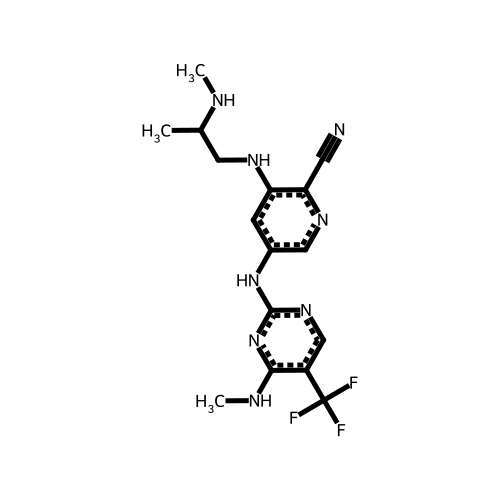 CNc1nc(Nc2cnc(C#N)c(NCC(C)NC)c2)ncc1C(F)(F)F